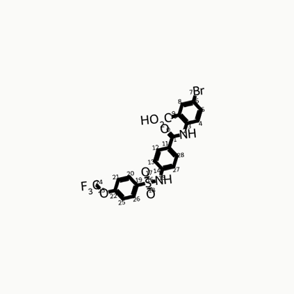 O=C(Nc1ccc(Br)cc1C(=O)O)c1ccc(NS(=O)(=O)c2ccc(OC(F)(F)F)cc2)cc1